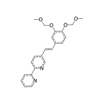 COCOc1ccc(/C=C/c2ccc(-c3ccccn3)nc2)cc1OCOC